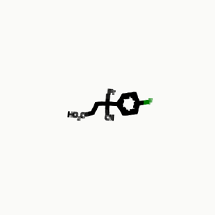 CC(C)C(C#N)(CCC(=O)O)c1ccc(F)cc1